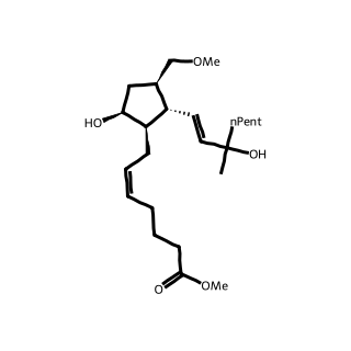 CCCCCC(C)(O)/C=C/[C@H]1[C@H](COC)C[C@H](O)[C@@H]1C/C=C\CCCC(=O)OC